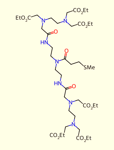 CCOC(=O)CN(CCN(CC(=O)OCC)CC(=O)OCC)CC(=O)NCCN(CCNC(=O)CN(CCN(CC(=O)OCC)CC(=O)OCC)CC(=O)OCC)C(=O)CCSC